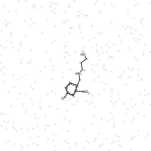 O=[N+]([O-])c1cc(Cl)ccc1CNCCCO